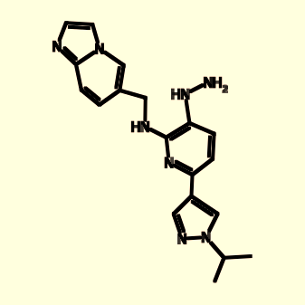 CC(C)n1cc(-c2ccc(NN)c(NCc3ccc4nccn4c3)n2)cn1